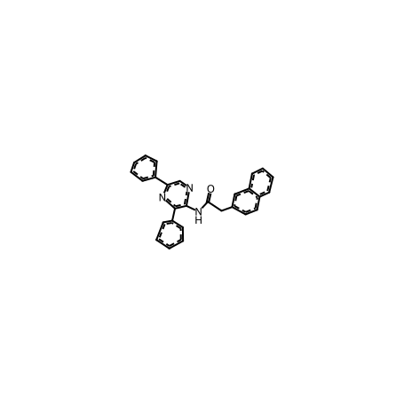 O=C(Cc1ccc2ccccc2c1)Nc1ncc(-c2ccccc2)nc1-c1ccccc1